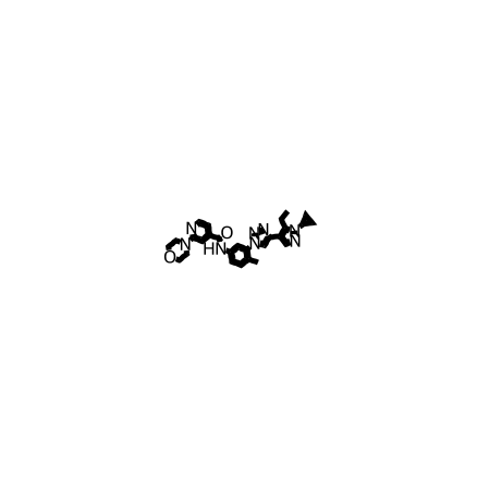 CCc1c(-c2cn(-c3cc(NC(=O)c4ccnc(N5CCOCC5)c4)ccc3C)nn2)cnn1C1CC1